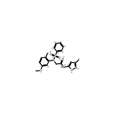 COc1ccc(C)c(N(CC(=O)Nc2cc(C)no2)S(=O)(=O)c2ccccc2)c1